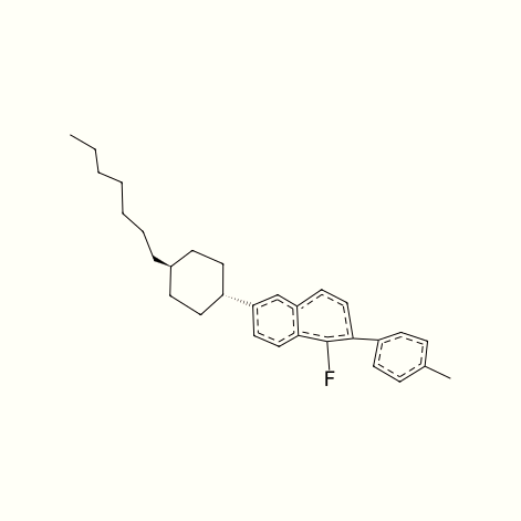 CCCCCCC[C@H]1CC[C@H](c2ccc3c(F)c(-c4ccc(C)cc4)ccc3c2)CC1